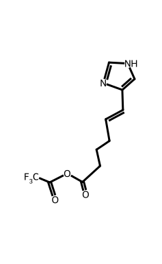 O=C(CCCC=Cc1c[nH]cn1)OC(=O)C(F)(F)F